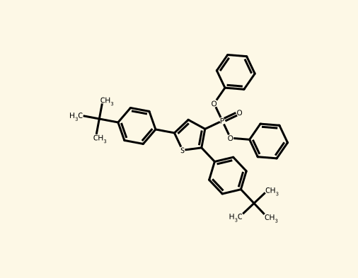 CC(C)(C)c1ccc(-c2cc(P(=O)(Oc3ccccc3)Oc3ccccc3)c(-c3ccc(C(C)(C)C)cc3)s2)cc1